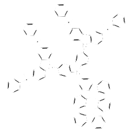 CC(C)(c1ccccc1)c1ccc2c(c1)c1cc(C(C)(C)c3ccccc3)ccc1n2-c1ccc2c(c1)c1cc(-n3c4ccc(C(C)(C)c5ccccc5)cc4c4cc(C(C)(C)c5ccccc5)ccc43)ccc1n2-c1ccc([Si]2(c3ccccc3)c3ccccc3[Si](c3ccccc3)(c3ccccc3)c3ccccc32)cc1